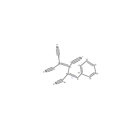 N#CC(C#N)=C(C#N)/C(=[C]\c1ccccc1)C#N